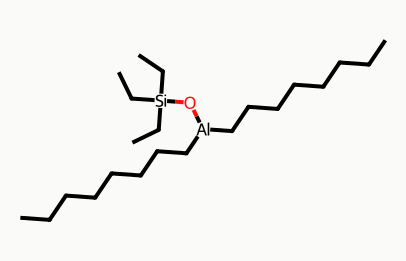 CCCCCCC[CH2][Al]([CH2]CCCCCCC)[O][Si](CC)(CC)CC